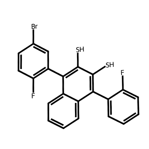 Fc1ccccc1-c1c(S)c(S)c(-c2cc(Br)ccc2F)c2ccccc12